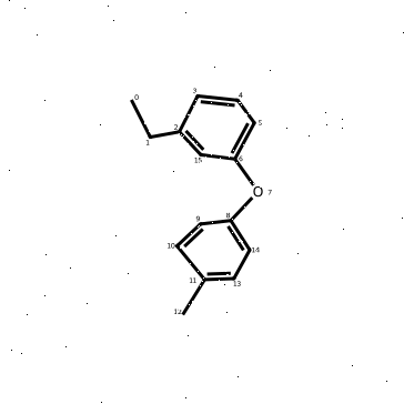 CCc1cccc(Oc2ccc(C)cc2)c1